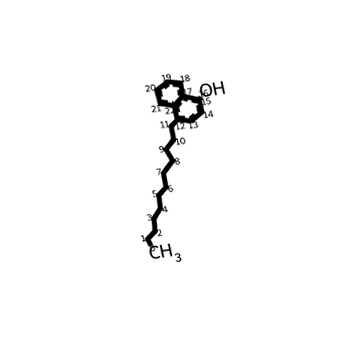 CCCCCCCCCCCCc1ccc(O)c2ccccc12